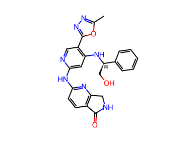 Cc1nnc(-c2cnc(Nc3ccc4c(n3)CNC4=O)cc2N[C@H](CO)c2ccccc2)o1